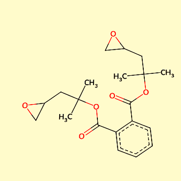 CC(C)(CC1CO1)OC(=O)c1ccccc1C(=O)OC(C)(C)CC1CO1